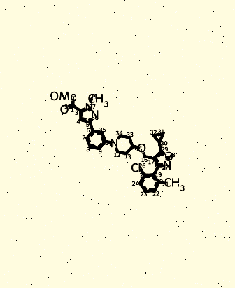 COC(=O)c1cc(-c2cccc(N3CCC(OCc4c(-c5c(C)cccc5Cl)noc4C4CC4)CC3)c2)nn1C